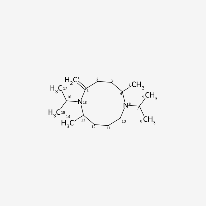 C=C1CCC(C)N(C(C)C)CCCC(C)N1C(C)C